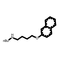 CCCCNCCCCOc1ccc2ccccc2c1